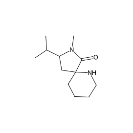 CC(C)C1CC2(CCCCN2)C(=O)N1C